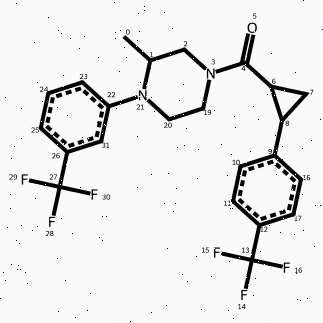 CC1CN(C(=O)C2CC2c2ccc(C(F)(F)F)cc2)CCN1c1cccc(C(F)(F)F)c1